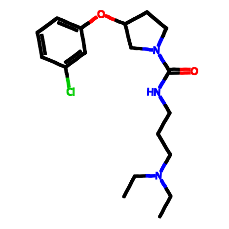 CCN(CC)CCCNC(=O)N1CCC(Oc2cccc(Cl)c2)C1